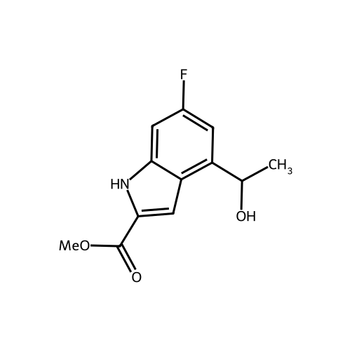 COC(=O)c1cc2c(C(C)O)cc(F)cc2[nH]1